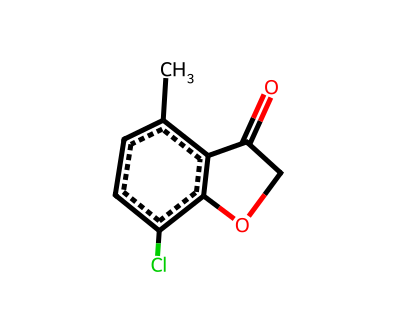 Cc1ccc(Cl)c2c1C(=O)CO2